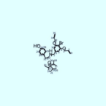 C=CCOc1cc(CN[C@H](CO[Si](C(C)C)(C(C)C)C(C)C)Cc2ccc(O)cc2)cc(OCC=C)c1Br